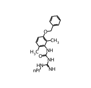 CCCNC(=N)NC(=O)Nc1c(C)ccc(OCc2ccccc2)c1C